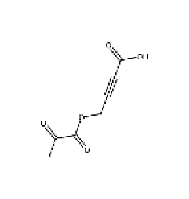 CC(=O)C(=O)OCC#CC(=O)O